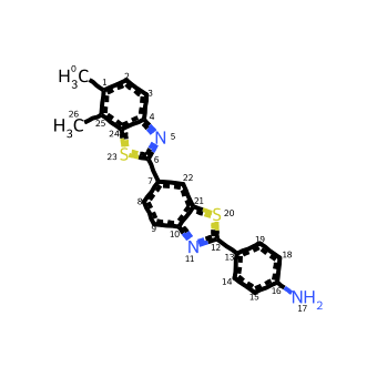 Cc1ccc2nc(-c3ccc4nc(-c5ccc(N)cc5)sc4c3)sc2c1C